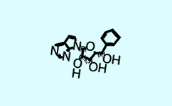 O[C@@H]1[C@H](O)C([C@H](O)c2ccccc2)O[C@H]1n1ccc2cncnc21